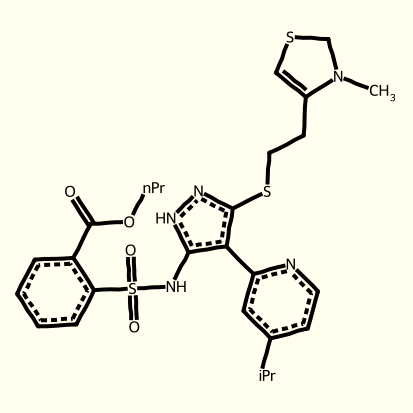 CCCOC(=O)c1ccccc1S(=O)(=O)Nc1[nH]nc(SCCC2=CSCN2C)c1-c1cc(C(C)C)ccn1